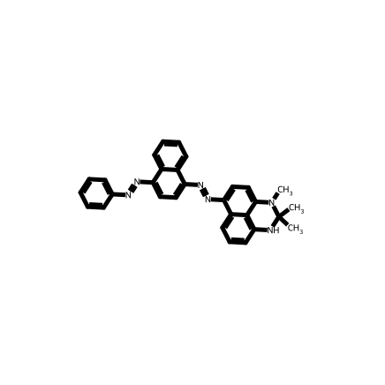 CN1c2ccc(N=Nc3ccc(N=Nc4ccccc4)c4ccccc34)c3cccc(c23)NC1(C)C